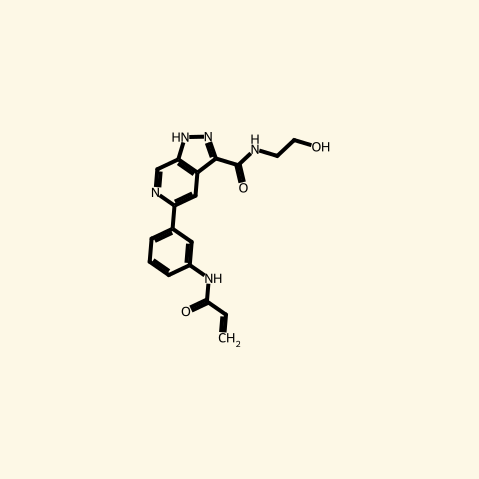 C=CC(=O)Nc1cccc(-c2cc3c(C(=O)NCCO)n[nH]c3cn2)c1